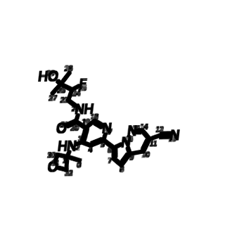 CC1(Nc2cc(-c3ccc4cc(C#N)cnn34)ncc2C(=O)NCC(F)C(C)(C)O)COC1